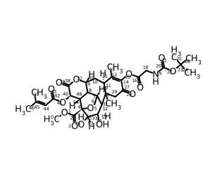 COC(=O)[C@@]12OC[C@@H]3C4[C@@H](C[C@H]5C(C)=C(OC(=O)CNC(=O)OC(C)(C)C)C(=O)C[C@]5(C)C3[C@@H](O)[C@@H]1O)OC(=O)[C@H](OC(=O)C=C(C)C)[C@H]42